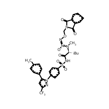 CC[C@@H](C)[C@@H](C(=O)NS(=O)(=O)c1ccc(-n2nc(C(F)(F)F)cc2-c2ccc(C)cc2)cc1)N(C)/[N+]([O-])=N\OCN1C(=O)c2ccccc2C1=O